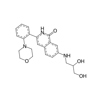 O=c1[nH]c(-c2ccccc2N2CCOCC2)cc2ccc(NCC(O)CO)cc12